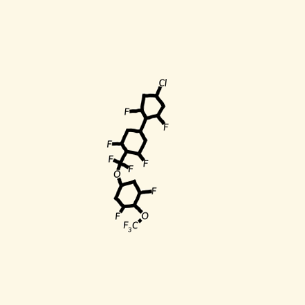 FC1CC(OC(F)(F)C2C(F)CC(C3C(F)CC(Cl)CC3F)CC2F)CC(F)C1OC(F)(F)F